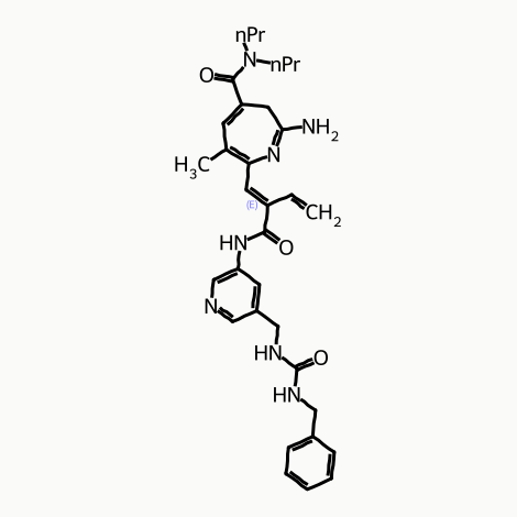 C=C/C(=C\C1=C(C)C=C(C(=O)N(CCC)CCC)CC(N)=N1)C(=O)Nc1cncc(CNC(=O)NCc2ccccc2)c1